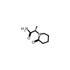 C[C@H](C(N)=O)N1CCCCC1=O